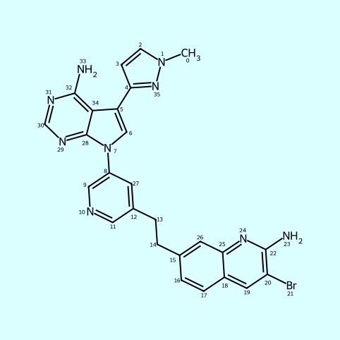 Cn1ccc(-c2cn(-c3cncc(CCc4ccc5cc(Br)c(N)nc5c4)c3)c3ncnc(N)c23)n1